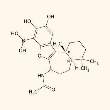 CC(=O)NC1CC[C@@H]2C(C)(C)CCC[C@@]2(C)c2c1oc1c(B(O)O)c(O)c(O)cc21